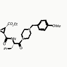 CCOC(=O)[C@H]1O[C@@H]1C(=O)N[C@@H](CC(C)C)C(=O)N1CCN(Cc2ccc(OC)cc2)CC1